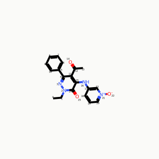 CCn1nc(-c2ccccc2)c(C(C)=O)c(Nc2ccc[n+]([O-])c2)c1=O